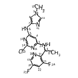 CC(Nc1cc(Nc2cn(C)cn2)nc(Cl)n1)c1ncc(F)cc1F